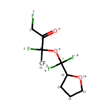 O=C(CF)C(F)(OC(F)(F)C1CCCO1)C(F)(F)F